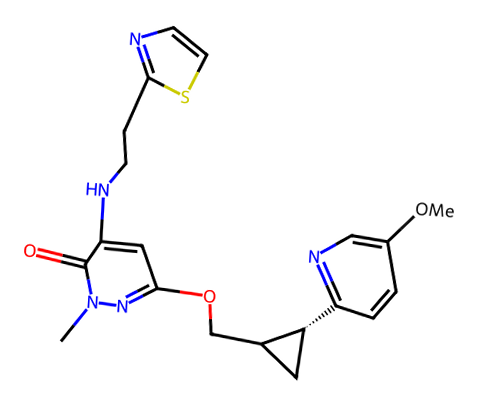 COc1ccc([C@@H]2CC2COc2cc(NCCc3nccs3)c(=O)n(C)n2)nc1